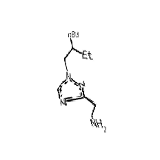 CCCCC(CC)Cn1cnc(CN)n1